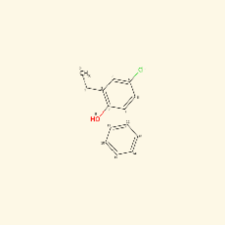 CCc1cc(Cl)ccc1O.c1ccccc1